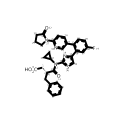 O=C(O)C[C@@H](Cc1ccccc1)C(=O)N(c1nc(-c2cc(F)ccc2-c2ccc(N3CCCC3=O)nc2)cs1)C1CC1